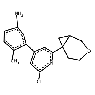 Cc1ccc(N)cc1-c1cc(Cl)nc(C23CCOCC2C3)c1